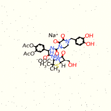 CC(=O)Oc1ccc(C(NC(=O)N2CCN(Cc3ccc(O)c(O)c3)C(=O)C2=O)C(=O)N[C@@]2(C(=O)[O-])N3C(=O)[C@@H](CO)[C@H]3SC2(C)C)cc1OC(C)=O.[Na+]